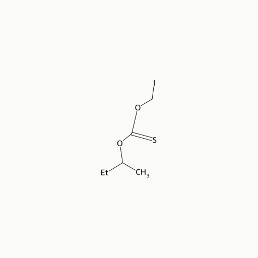 CCC(C)OC(=S)OCI